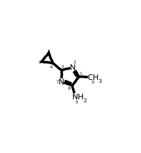 CC1=NC(C2CC2)N=C1N